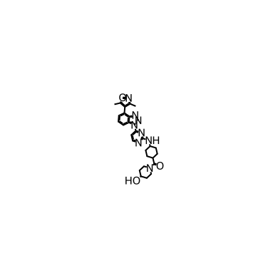 Cc1noc(C)c1-c1cccc2c1nnn2-c1ccnc(NC2CCC(C(=O)N3CCC(O)CC3)CC2)n1